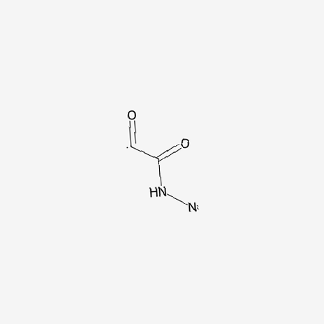 [N]NC(=O)[C]=O